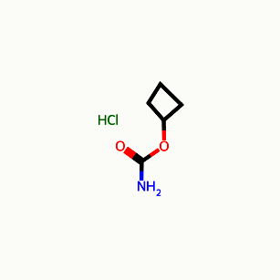 Cl.NC(=O)OC1CCC1